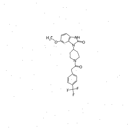 COc1ccc2[nH]c(=O)n(C3CCN(C(=O)Cc4ccc(C(F)(F)F)cc4)CC3)c2c1